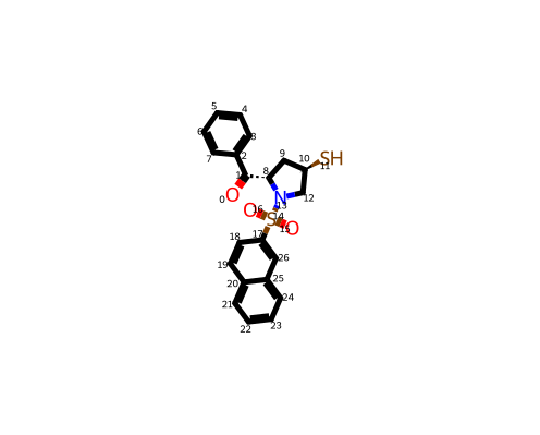 O=C(c1ccccc1)[C@@H]1C[C@@H](S)CN1S(=O)(=O)c1ccc2ccccc2c1